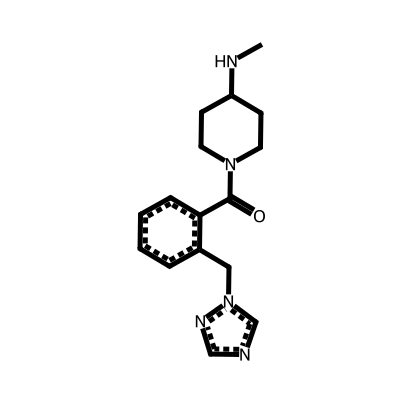 CNC1CCN(C(=O)c2ccccc2Cn2cncn2)CC1